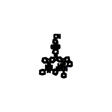 N#Cc1ccc(S(=O)(=O)c2ccc(-n3c4cc5c6ccccc6n(N/C(=N\C(=N)c6ccccc6)c6ccccc6)c5cc4c4cc5c(cc43)c3ccccc3n5-c3nc(-c4ccccc4)nc(-c4ccccc4)n3)cc2)cc1